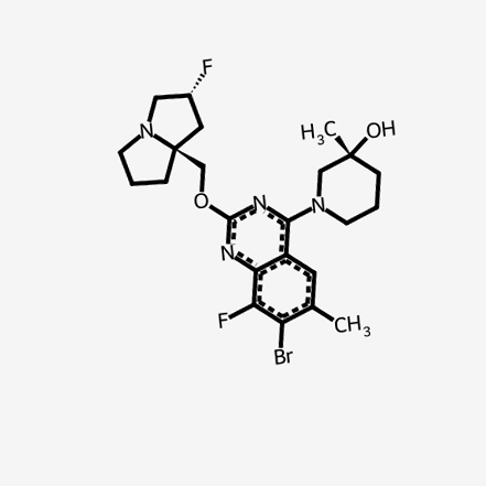 Cc1cc2c(N3CCC[C@@](C)(O)C3)nc(OC[C@@]34CCCN3C[C@H](F)C4)nc2c(F)c1Br